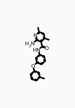 Cc1cccc(Oc2cccc(NC(=O)c3c(C)cc(C)nc3N)c2)c1